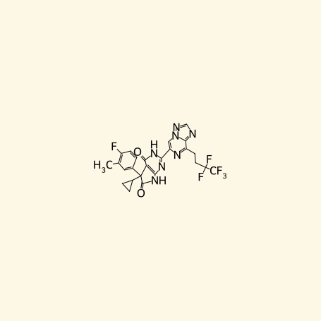 Cc1cc(C2(C3CC3)C(=O)Nc3nc(-c4cn5ncnc5c(CCC(F)(F)C(F)(F)F)n4)[nH]c(=O)c32)ccc1F